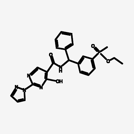 CCOP(C)(=O)c1cccc(C(NC(=O)c2cnc(-n3cccn3)nc2O)c2ccccc2)c1